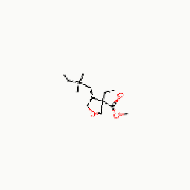 CCC(C)(C)CC1COCC1(CC)C(=O)OC